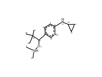 C[SiH](C)OC(c1ccc(NC2CC2)nc1)C(C)(C)C